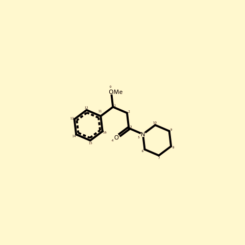 COC(CC(=O)N1CCCCC1)c1ccccc1